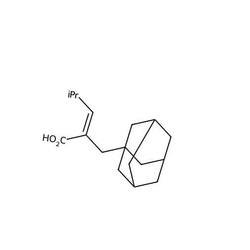 CC(C)C=C(CC12CC3CC(CC(C3)C1)C2)C(=O)O